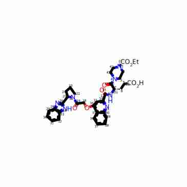 CCOC(=O)N1CCN(C(=O)[C@H](CCC(=O)O)NC(=O)c2cc(OCC(=O)N3CCCC3c3nc4ccccc4[nH]3)c3ccccc3n2)CC1